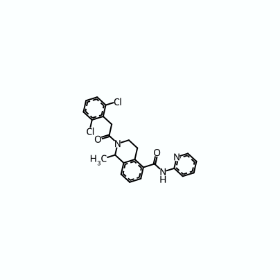 CC1c2cccc(C(=O)Nc3ccccn3)c2CCN1C(=O)Cc1c(Cl)cccc1Cl